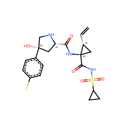 C=C[C@@H]1C[C@]1(NC(=O)[C@@H]1C[C@@](O)(c2ccc(F)cc2)CN1)C(=O)NS(=O)(=O)C1CC1